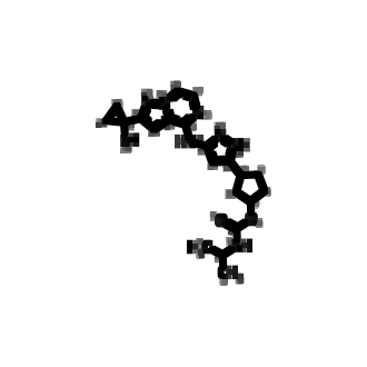 CC(C)NC(=O)OC1CCC(c2cc(Nc3nccn4nc(C5(S)CC5)cc34)n[nH]2)C1